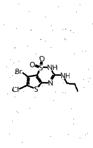 CCCNC1=Nc2sc(Cl)c(Br)c2S(=O)(=O)N1